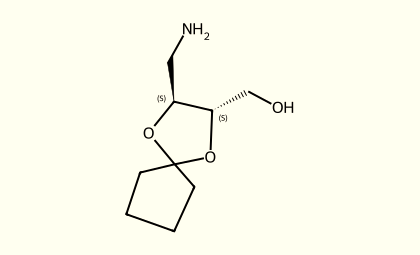 NC[C@@H]1OC2(CCCC2)O[C@H]1CO